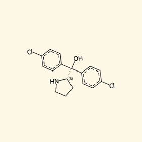 OC(c1ccc(Cl)cc1)(c1ccc(Cl)cc1)[C@@H]1CCCN1